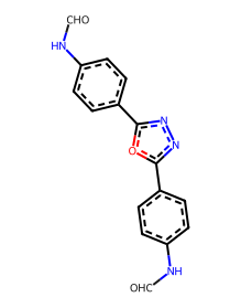 O=CNc1ccc(-c2nnc(-c3ccc(NC=O)cc3)o2)cc1